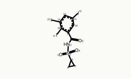 O=C(NS(=O)(=O)C1CC1)c1cc(I)cc(I)c1I